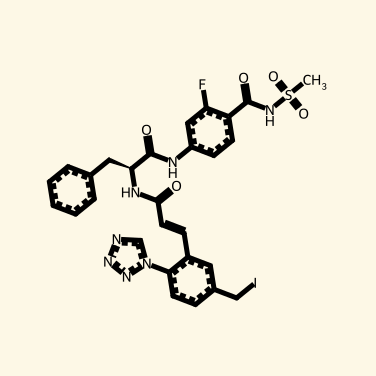 CS(=O)(=O)NC(=O)c1ccc(NC(=O)[C@H](Cc2ccccc2)NC(=O)/C=C/c2cc(CI)ccc2-n2cnnn2)cc1F